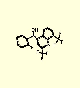 OC(c1ccccc1F)c1cc(C(F)(F)F)nc2c(C(F)(F)F)cccc12